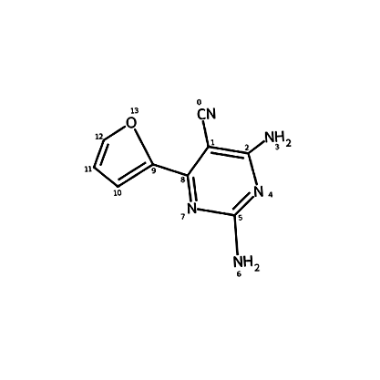 N#Cc1c(N)nc(N)nc1-c1ccco1